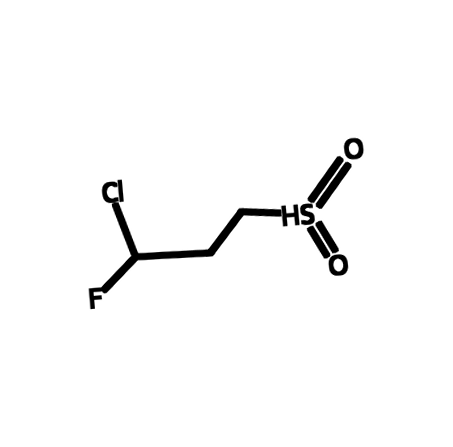 O=[SH](=O)CCC(F)Cl